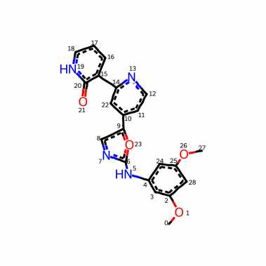 COc1cc(Nc2ncc(-c3ccnc(-c4ccc[nH]c4=O)c3)o2)cc(OC)c1